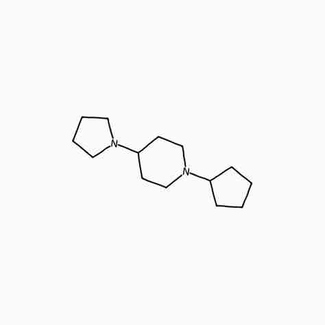 C1CCC(N2CCC(N3CCCC3)CC2)C1